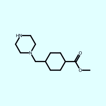 COC(=O)C1CCC(CN2CCNCC2)CC1